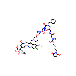 CC[C@@]1(O)C(=O)OCc2c1cc1n(c2=O)Cc2c-1nc1cc(F)c(C)cc1c2CN1CCC[C@H](OCNC(=O)CNC(=O)[C@H](Cc2ccccc2)NC(=O)CNC(=O)CNC(=O)CCCCCN2C(=O)C=CC2=O)C1